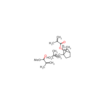 C=C(C)C(=O)O.C=C(C)C(=O)OC.C=C(C)C(=O)OC1CC2CCC1(C)C2(C)C